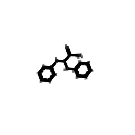 NC(=O)C(Oc1ccccc1)Oc1ccccc1